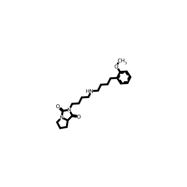 COc1ccccc1CCCCNCCCCN1C(=O)C2CCCN2C1=O